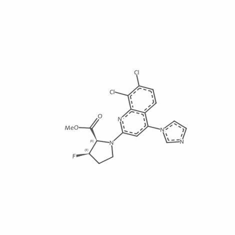 COC(=O)[C@@H]1[C@H](F)CCN1c1cc(-n2ccnc2)c2ccc(Cl)c(Cl)c2n1